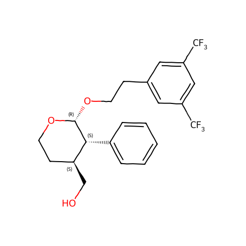 OC[C@H]1CCO[C@H](OCCc2cc(C(F)(F)F)cc(C(F)(F)F)c2)[C@@H]1c1ccccc1